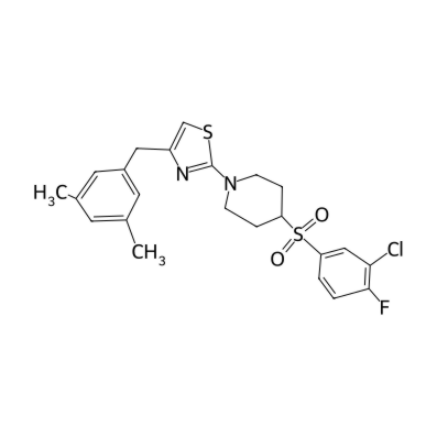 Cc1cc(C)cc(Cc2csc(N3CCC(S(=O)(=O)c4ccc(F)c(Cl)c4)CC3)n2)c1